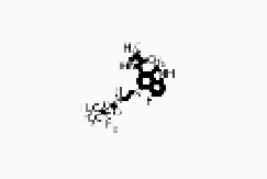 Cc1c[nH]c(-c2cc(SCCNC(=O)OC(C)(C)C)c3c(F)ccc4c3c2C(=O)N4)c1C